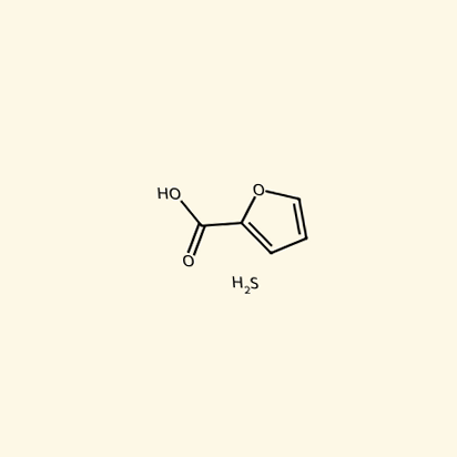 O=C(O)c1ccco1.S